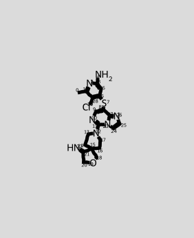 Cc1nc(N)cc(Sc2cnc(N3CCC4(CC3)COCC4=N)n3ccnc23)c1Cl